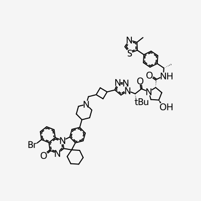 Cc1ncsc1-c1ccc([C@H](C)NC(=O)[C@@H]2C[C@@H](O)CN2C(=O)[C@@H](n2cc(C3CC(CN4CCC(c5ccc6c(c5)-n5c(nc(=O)c7c(Br)cccc75)C65CCCCC5)CC4)C3)nn2)C(C)(C)C)cc1